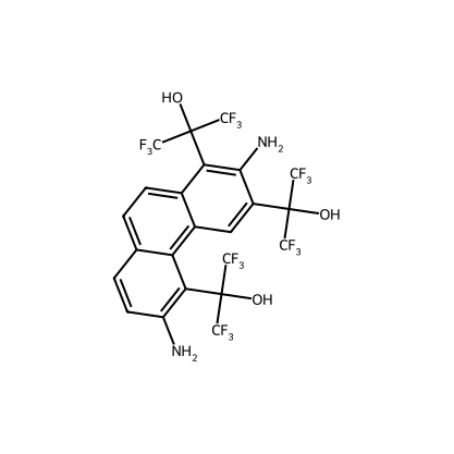 Nc1ccc2ccc3c(C(O)(C(F)(F)F)C(F)(F)F)c(N)c(C(O)(C(F)(F)F)C(F)(F)F)cc3c2c1C(O)(C(F)(F)F)C(F)(F)F